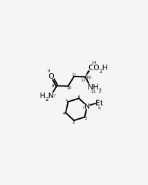 CCN1CCCCC1.NC(=O)CC[C@H](N)C(=O)O